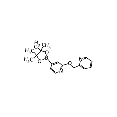 CC1(C)OB(c2ccnc(OCc3ccccn3)c2)OC1(C)C